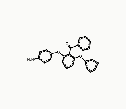 Nc1ccc(Oc2cccc(Oc3ccccc3)c2C(=O)c2ccccc2)cc1